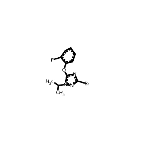 CC(C)n1nc(Br)nc1Oc1ccccc1F